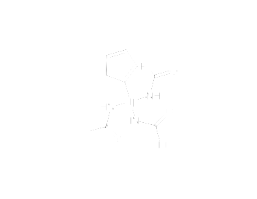 CCC(=O)[NH][Hf]([NH]C(=O)CC)([NH]C(=O)CC)[C]1=CC=CC1